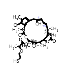 C/C1=C\C=C\[C@@H](C)[C@@]2(O)C[C@H](OC(=O)N2)[C@@H](C)[C@@H]2O[C@@]2(C)[C@@H](OC(=O)[C@H](C)OCCS)CC(=O)N(C)c2cc(cc(C)c2Cl)C1